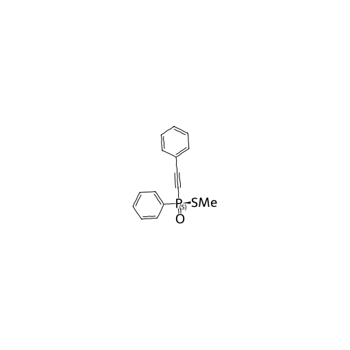 CS[P@](=O)(C#Cc1ccccc1)c1ccccc1